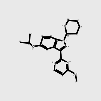 CNc1ccnc(-c2nn(C3CCCCO3)c3ccc(OC(C)C)cc23)n1